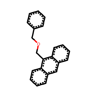 c1ccc(COCc2c3ccccc3cc3ccccc23)cc1